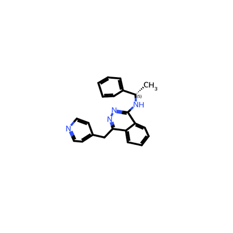 C[C@H](Nc1nnc(Cc2ccncc2)c2ccccc12)c1ccccc1